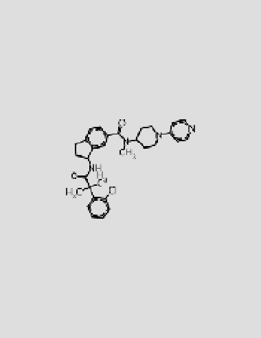 CN(C(=O)c1ccc2c(c1)C(NC(=O)C(C)(C)c1ccccc1Cl)CC2)C1CCN(c2ccncc2)CC1